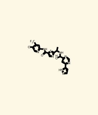 CC(NC(O)c1cc(-c2ccn[nH]2)ncn1)c1ncc(C(=O)Nc2cc(C(F)(F)F)c(Cl)cn2)s1